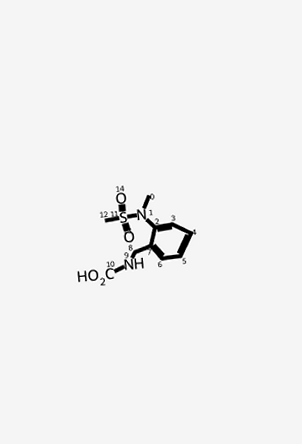 CN(c1ccccc1CNC(=O)O)S(C)(=O)=O